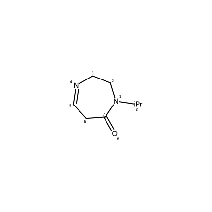 CC(C)N1CCN=CCC1=O